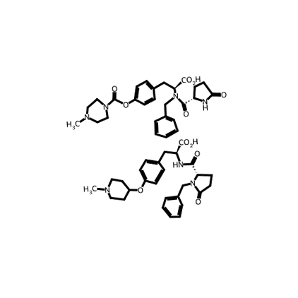 CN1CCC(Oc2ccc(C[C@H](NC(=O)[C@@H]3CCC(=O)N3Cc3ccccc3)C(=O)O)cc2)CC1.CN1CCN(C(=O)Oc2ccc(C[C@@H](C(=O)O)N(Cc3ccccc3)C(=O)[C@@H]3CCC(=O)N3)cc2)CC1